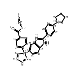 [N-]=[N+]=NC(=O)c1ccc([N+]2(c3ccc4[nH]c(-c5ccc(N6CCCC6)cc5)nc4c3)C=NN=N2)cc1